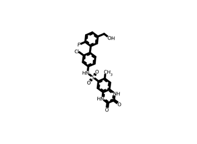 Cc1cc2[nH]c(=O)c(=O)[nH]c2cc1S(=O)(=O)Nc1ccc(-c2cc(CO)ccc2F)c(Cl)c1